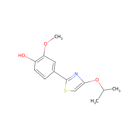 COc1cc(-c2nc(OC(C)C)cs2)ccc1O